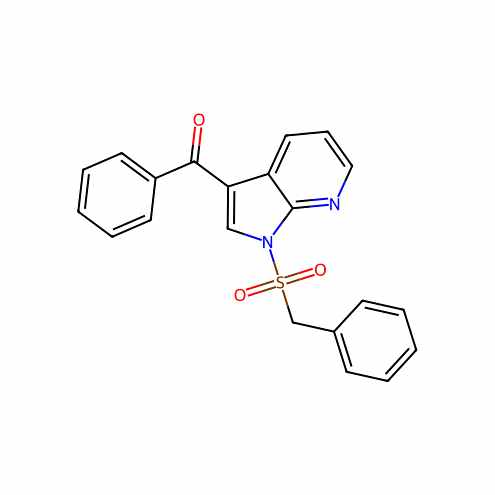 O=C(c1ccccc1)c1cn(S(=O)(=O)Cc2ccccc2)c2ncccc12